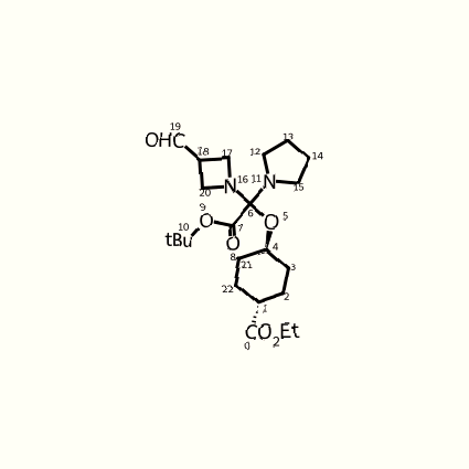 CCOC(=O)[C@H]1CC[C@H](OC(C(=O)OC(C)(C)C)(N2CCCC2)N2CC(C=O)C2)CC1